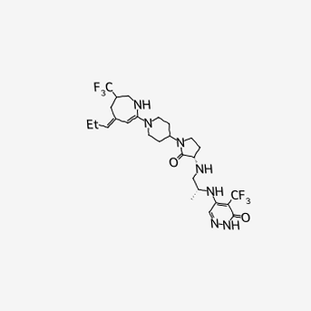 CC/C=C1/C=C(N2CCC(N3CC[C@H](NC[C@@H](C)Nc4cn[nH]c(=O)c4C(F)(F)F)C3=O)CC2)NCC(C(F)(F)F)C1